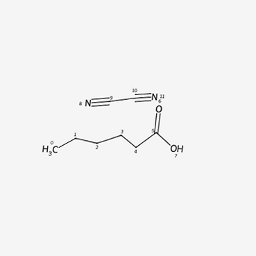 CCCCCC(=O)O.N#CC#N